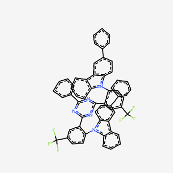 FC(F)(F)c1ccc(-n2c3ccccc3c3cc(-c4ccccc4)ccc32)c(-c2nc(-c3ccccc3)nc(-c3cc(C(F)(F)F)ccc3-n3c4ccccc4c4cc(-c5ccccc5)ccc43)n2)c1